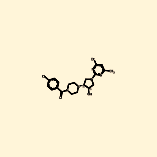 CCc1cc(C)nc(N2C[C@@H](O)[C@H](N3CCN(C(=O)c4ccc(Cl)cc4)CC3)C2)n1